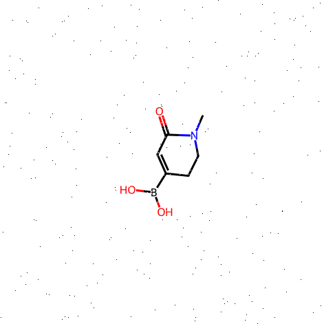 CN1CCC(B(O)O)=CC1=O